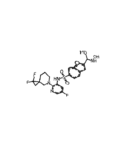 O=S(=O)(Nc1cc(F)cnc1N1CCCC2(C1)CC2(F)F)c1ccc2cc(C(O)NO)oc2c1